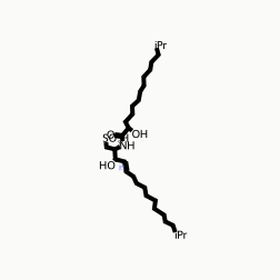 CC(C)CCCCCCCCC/C=C/C(O)C(CS(=O)(=O)O)NC(=O)C(O)CCCCCCCCCCC(C)C